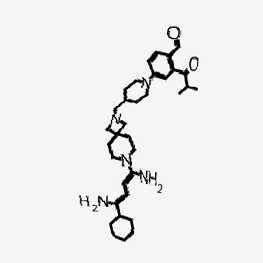 CC(C)C(=O)c1cc(N2CCC(CN3CC4(CCN(/C(N)=C/C=C(\N)C5CCCCC5)CC4)C3)CC2)ccc1C=O